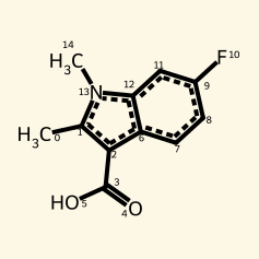 Cc1c(C(=O)O)c2ccc(F)cc2n1C